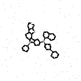 c1ccc(-c2ccc(N(c3ccc4c(c3)c3c5sc6ccccc6c5ccc3n4-c3ccccc3)c3cccc4ccccc34)cc2)cc1